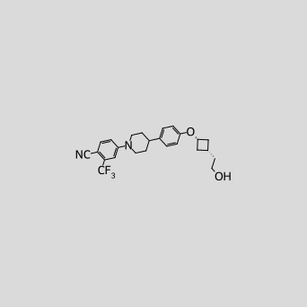 N#Cc1ccc(N2CCC(c3ccc(O[C@H]4C[C@@H](CCO)C4)cc3)CC2)cc1C(F)(F)F